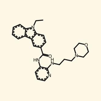 CCn1c2ccccc2c2cc(C(=O)Nc3cccnc3NCCCN3CCOCC3)ccc21